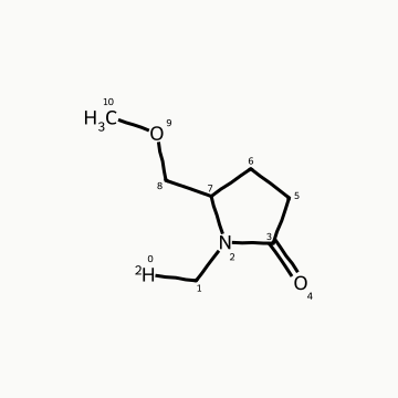 [2H]CN1C(=O)CCC1COC